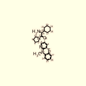 CN(c1cccc([C@@H]2CCCN2C(=O)[C@@H](N)C2CCCCC2)n1)c1ccccc1F